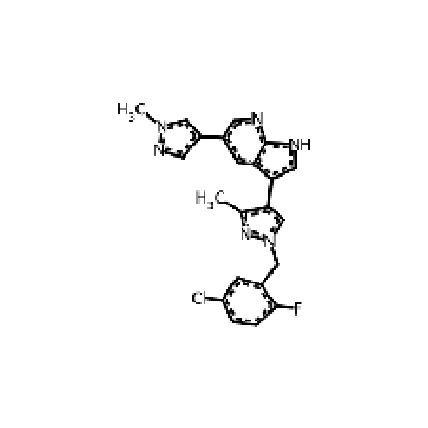 Cc1nn(Cc2cc(Cl)ccc2F)cc1-c1c[nH]c2ncc(-c3cnn(C)c3)cc12